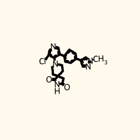 Cn1cc(-c2ccc(-c3cncc(Cl)c3N3CCC4(CC3)CC(=O)NC4=O)cc2)cn1